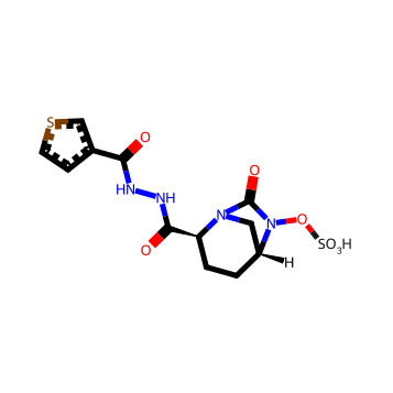 O=C(NNC(=O)[C@@H]1CC[C@@H]2CN1C(=O)N2OS(=O)(=O)O)c1ccsc1